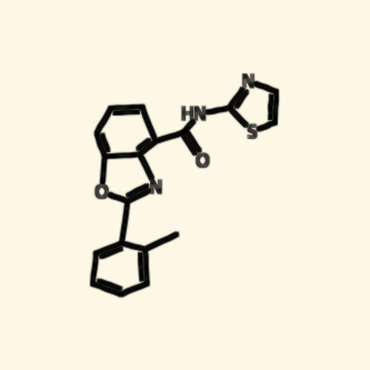 Cc1ccccc1-c1nc2c(C(=O)Nc3nccs3)cccc2o1